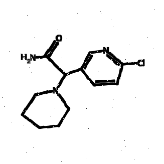 NC(=O)C(c1ccc(Cl)nc1)N1CCCCC1